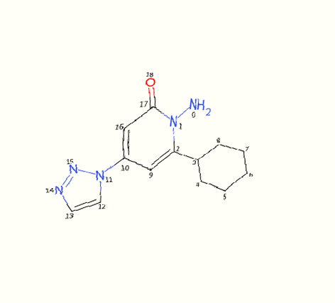 Nn1c(C2CCCCC2)cc(-n2ccnn2)cc1=O